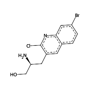 N[C@H](CO)Cc1cc2ccc(Br)cc2nc1Cl